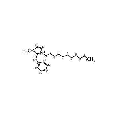 CCCCCCCCCCC[n+]1ccn(C)c1Cc1ccccc1